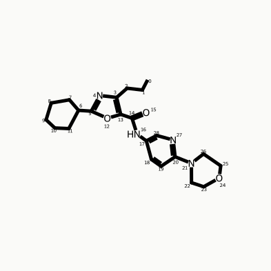 CCCc1nc(C2CCCCC2)oc1C(=O)Nc1ccc(N2CCOCC2)nc1